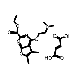 CCOC(=O)c1nc(OCCN(C)C)c2c(C)c(C)oc2n1.O=C(O)/C=C/C(=O)O